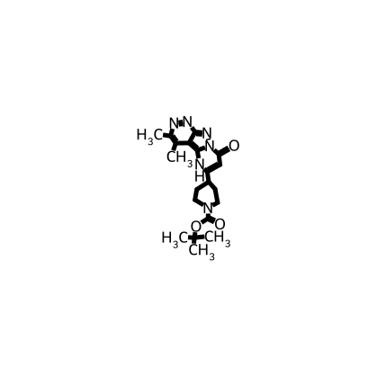 Cc1nnc2nn3c(=O)cc(C4CCN(C(=O)OC(C)(C)C)CC4)[nH]c3c2c1C